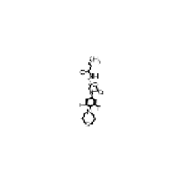 CCCC(=O)NC[C@H]1CN(c2cc(F)c(N3CCCSCCC3)c(F)c2)C(=O)O1